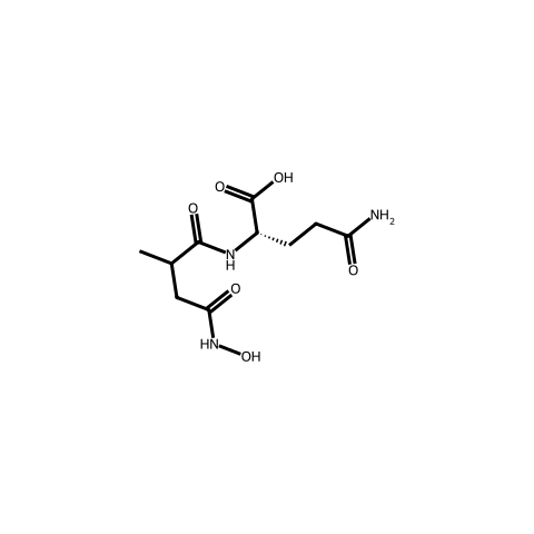 CC(CC(=O)NO)C(=O)N[C@@H](CCC(N)=O)C(=O)O